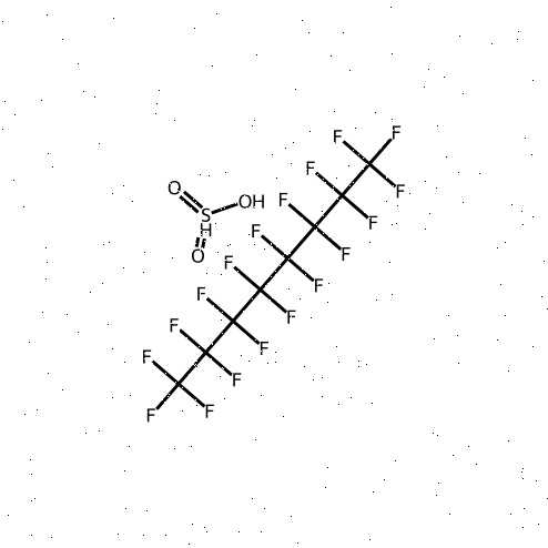 FC(F)(F)C(F)(F)C(F)(F)C(F)(F)C(F)(F)C(F)(F)C(F)(F)C(F)(F)F.O=[SH](=O)O